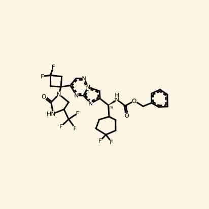 O=C(N[C@H](c1cn2ncc(C3(N4CC(C(F)(F)F)NC4=O)CC(F)(F)C3)nc2n1)C1CCC(F)(F)CC1)OCc1ccccc1